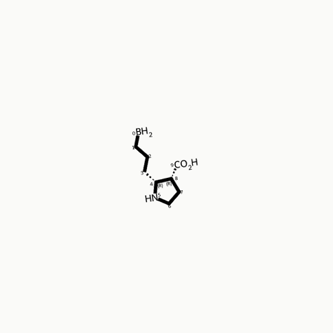 BCCC[C@H]1NCC[C@H]1C(=O)O